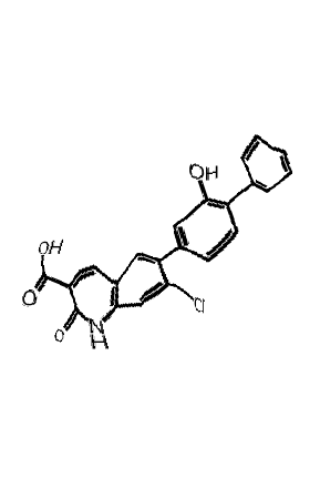 O=C(O)c1cc2cc(-c3ccc(-c4ccccc4)c(O)c3)c(Cl)cc2[nH]c1=O